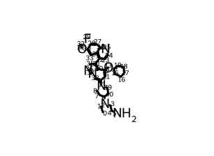 CCN(CCN)C1CCN(c2cc(OC3CCCCC3)c3c(-c4ccnc5cc(F)c(OC)cc45)cnn3c2)CC1